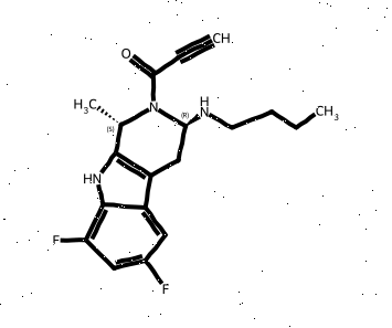 C#CC(=O)N1[C@@H](NCCCC)Cc2c([nH]c3c(F)cc(F)cc23)[C@@H]1C